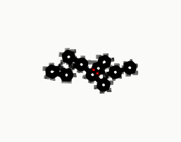 c1ccc(-c2ccc(N(c3ccccc3-c3ccc(-c4ccc5c6ccccc6n(-c6cccc7c6sc6ccccc67)c5c4)cc3)c3cccc4ccccc34)cc2)cc1